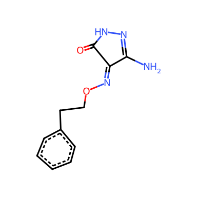 NC1=NNC(=O)C1=NOCCc1ccccc1